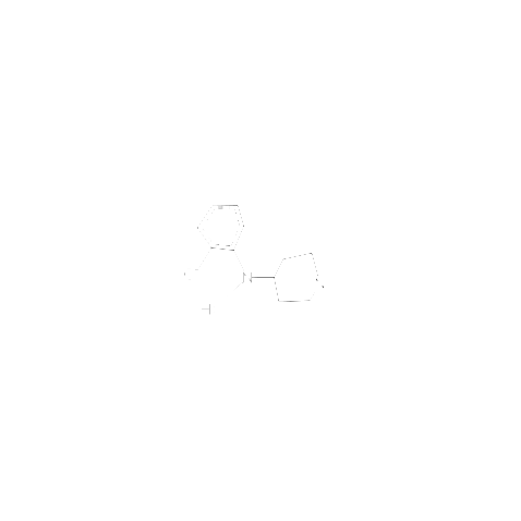 CN(c1ccccc1Cl)C1CCNCC1.Cl